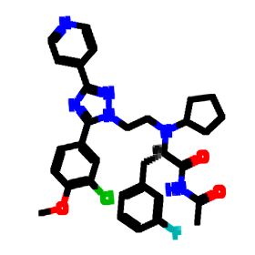 COc1ccc(-c2nc(-c3ccncc3)nn2CCN(C2CCCC2)[C@@H](Cc2cccc(F)c2)C(=O)NC(C)=O)cc1Cl